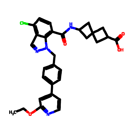 CCOc1cc(-c2ccc(Cn3ncc4c(Cl)ccc(C(=O)NC5CC6(C5)CC(C(=O)O)C6)c43)cc2)ccn1